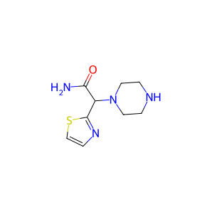 NC(=O)C(c1nccs1)N1CCNCC1